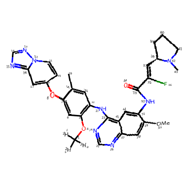 [2H]C([2H])([2H])Oc1cc(Oc2ccn3ncnc3c2)c(C)cc1Nc1ncnc2cc(OC)c(NC(=O)/C(F)=C/[C@H]3CCCN3C)cc12